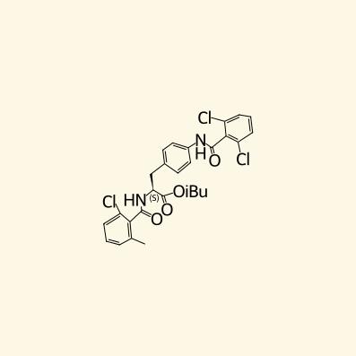 Cc1cccc(Cl)c1C(=O)N[C@@H](Cc1ccc(NC(=O)c2c(Cl)cccc2Cl)cc1)C(=O)OCC(C)C